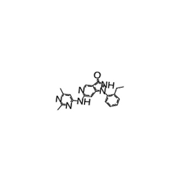 CCc1ccccc1-n1[nH]c(=O)c2cnc(Nc3cc(C)nc(C)n3)cc21